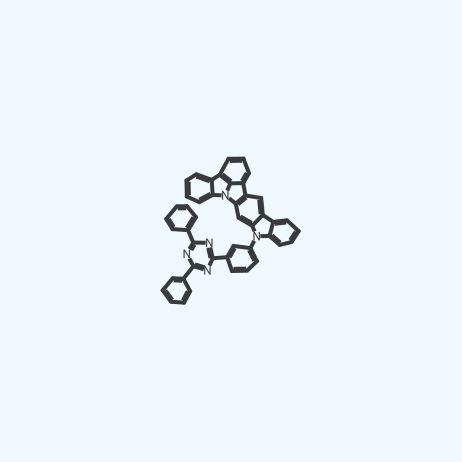 c1ccc(-c2nc(-c3ccccc3)nc(-c3cccc(-n4c5ccccc5c5cc6c7cccc8c9ccccc9n(c6cc54)c87)c3)n2)cc1